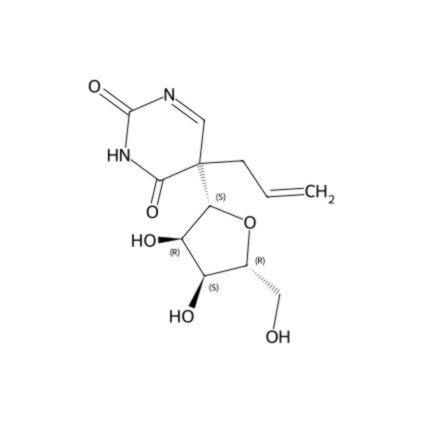 C=CCC1([C@@H]2O[C@H](CO)[C@@H](O)[C@H]2O)C=NC(=O)NC1=O